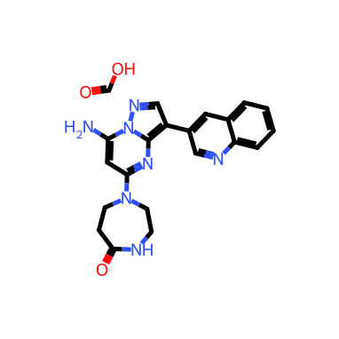 Nc1cc(N2CCNC(=O)CC2)nc2c(-c3cnc4ccccc4c3)cnn12.O=CO